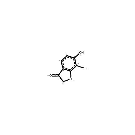 O=C1COc2c1ccc(O)c2I